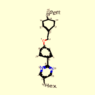 CCCCCCc1cnc(-c2ccc(OCC3CCC(CCCCC)CC3)cc2)nc1